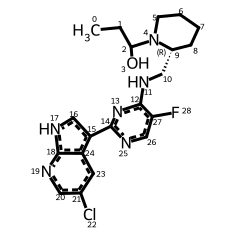 CCC(O)N1CCCC[C@@H]1CNc1nc(-c2c[nH]c3ncc(Cl)cc23)ncc1F